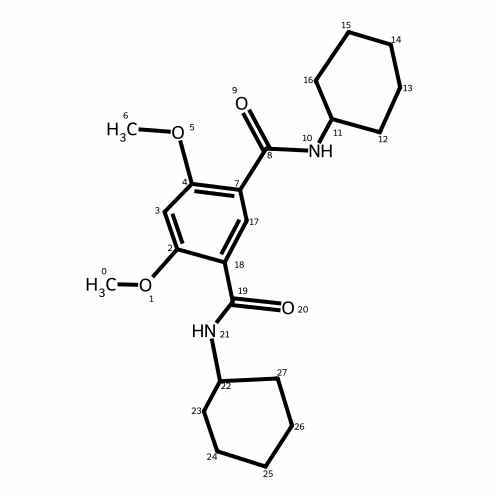 COc1cc(OC)c(C(=O)NC2CCCCC2)cc1C(=O)NC1CCCCC1